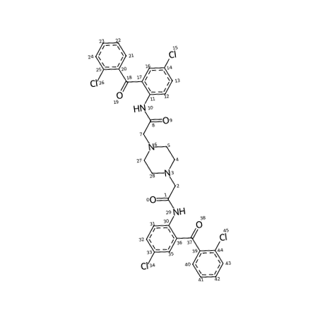 O=C(CN1CCN(CC(=O)Nc2ccc(Cl)cc2C(=O)c2ccccc2Cl)CC1)Nc1ccc(Cl)cc1C(=O)c1ccccc1Cl